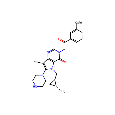 COc1cccc(C(=O)Cn2cnc3c(C#N)c(N4CCNCC4)n(CC4C[C@H]4C)c3c2=O)c1